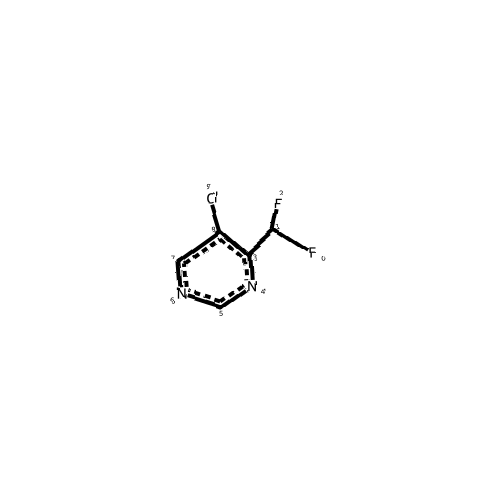 FC(F)c1ncncc1Cl